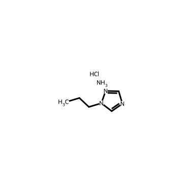 CCCn1cncn1.Cl.N